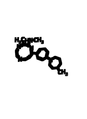 CNc1nc(C2=CCC=C(N3CCCC(C)CC3)C=C2)ccnccnc1C